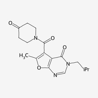 Cc1oc2ncn(CC(C)C)c(=O)c2c1C(=O)N1CCC(=O)CC1